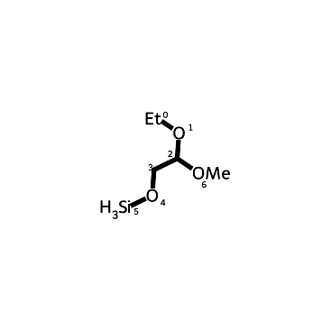 CCOC(CO[SiH3])OC